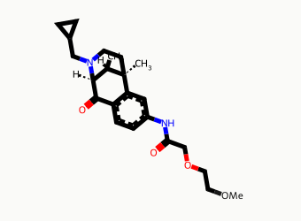 COCCOCC(=O)Nc1ccc2c(c1)[C@]1(C)CCN(CC3CC3)[C@H](C2=O)[C@@H]1C